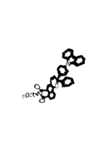 CCCCCCCCN1C(=O)c2cccc3c4c(cc(c23)C1=O)C=CC(c1ccccc1)(c1ccc(-n2c3ccccc3c3ccccc32)cc1)O4